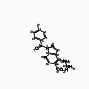 Cc1ccc(C(=O)n2ncc3c(NN)c(C(=O)O)cnc32)cc1